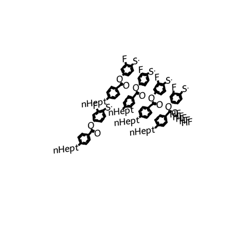 CCCCCCCc1ccc(C(=O)Oc2ccc([S])c(F)c2)cc1.CCCCCCCc1ccc(C(=O)Oc2ccc([S])c(F)c2)cc1.CCCCCCCc1ccc(C(=O)Oc2ccc([S])c(F)c2)cc1.CCCCCCCc1ccc(C(=O)Oc2ccc([S])c(F)c2)cc1.CCCCCCCc1ccc(C(=O)Oc2ccc([S])c(F)c2)cc1.F.F.F.F.F